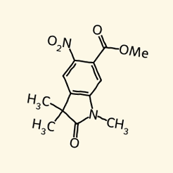 COC(=O)c1cc2c(cc1[N+](=O)[O-])C(C)(C)C(=O)N2C